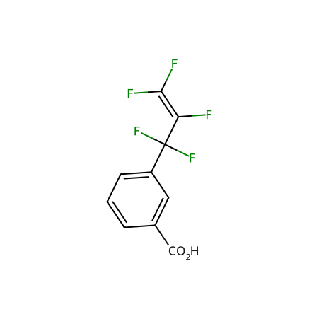 O=C(O)c1cccc(C(F)(F)C(F)=C(F)F)c1